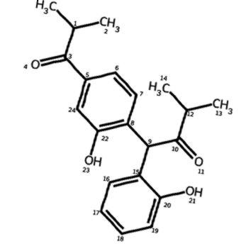 CC(C)C(=O)c1ccc(C(C(=O)C(C)C)c2ccccc2O)c(O)c1